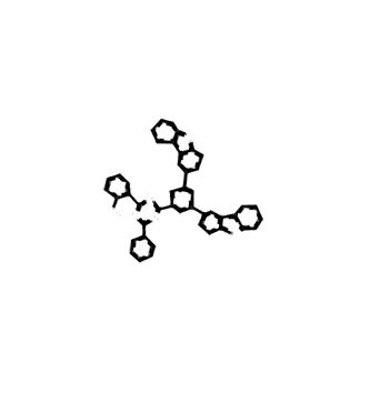 N#Cc1ccccc1-c1nc(-c2ccccc2)nc(-c2cc(-c3ccc4oc5ccccc5c4c3)cc(-c3ccc4oc5ccccc5c4c3)c2)n1